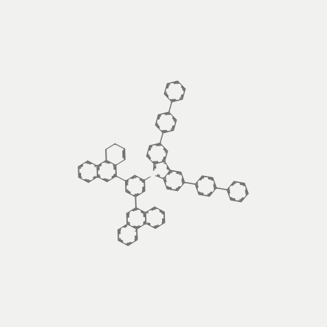 C1=Cc2c(-c3cc(-c4cc5ccccc5c5ccccc45)cc(-n4c5ccc(-c6ccc(-c7ccccc7)cc6)cc5c5cc(-c6ccc(-c7ccccc7)cc6)ccc54)c3)cc3ccccc3c2CC1